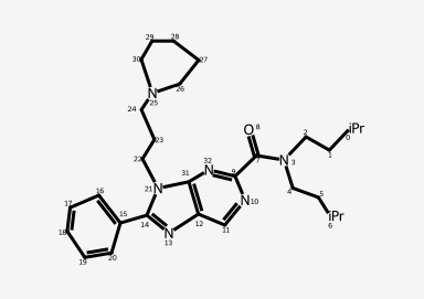 CC(C)CCN(CCC(C)C)C(=O)c1ncc2nc(-c3ccccc3)n(CCCN3CCCCC3)c2n1